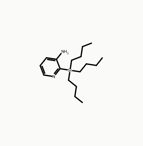 CCC[CH2][Sn]([CH2]CCC)([CH2]CCC)[c]1ncccc1N